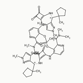 Cc1cn(C)nc1[C@H](Nc1c(Nc2ccnc(C(=O)N(C)C)c2OP(C)(=O)Oc2c(Nc3c(N[C@@H](c4nn(C)cc4C)C4(C)CCCC4)c(=O)c3=O)ccnc2C(=O)N(C)C)c(=O)c1=O)C1(C)CCCC1